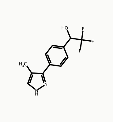 Cc1c[nH]nc1-c1ccc(C(O)C(F)(F)F)cc1